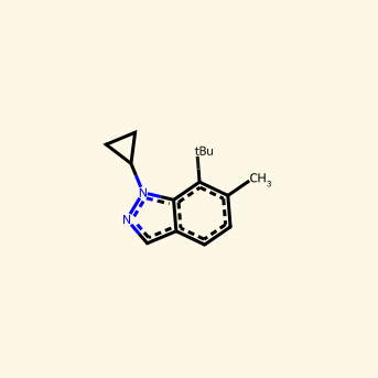 Cc1ccc2cnn(C3CC3)c2c1C(C)(C)C